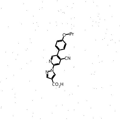 CC(C)Oc1ccc(-c2cnc(-n3cc(C(=O)O)cn3)cc2C#N)cc1